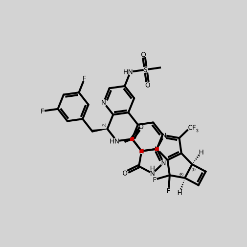 Cc1c(-c2cc(NS(C)(=O)=O)cnc2[C@H](Cc2cc(F)cc(F)c2)NC(=O)Cn2nc(C(F)(F)F)c3c2C(F)(F)[C@@H]2C=C[C@H]32)ccc2n[nH]c(=O)n12